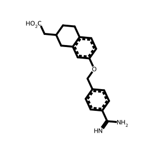 N=C(N)c1ccc(COc2ccc3c(c2)CC(CC(=O)O)CC3)cc1